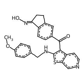 COc1ccc(CNc2sc3cnccc3c2C(=O)c2ccc3c(c2)CCC3=NO)cc1